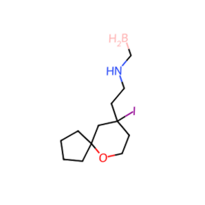 BCNCCC1(I)CCOC2(CCCC2)C1